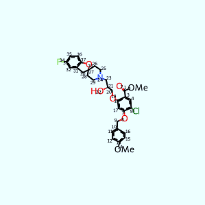 COC(=O)c1cc(Cl)c(OCc2ccc(OC)cc2)cc1OC[C@@H](O)CN1CCC2(CC1)Cc1cc(F)ccc1O2